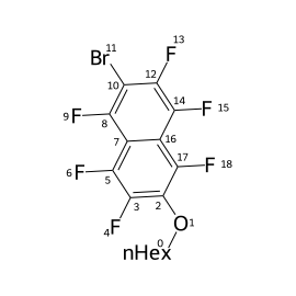 CCCCCCOc1c(F)c(F)c2c(F)c(Br)c(F)c(F)c2c1F